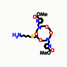 COC(=O)c1cccc(CN2CCOCCOCCN(Cc3cccc(C(=O)OC)n3)CCO[C@H](CSCCCCCN)COCC2)n1